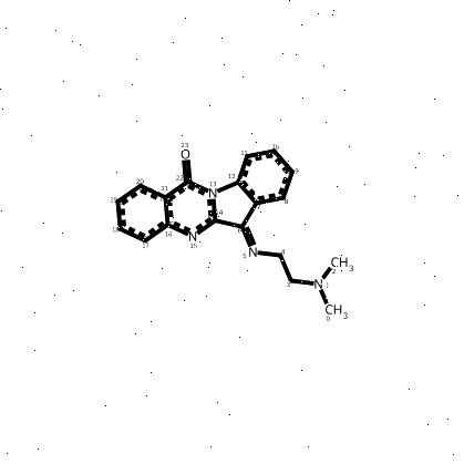 CN(C)CC/N=C1\c2ccccc2-n2c1nc1ccccc1c2=O